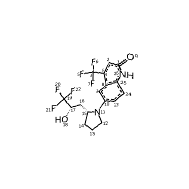 O=c1cc(C(F)(F)F)c2cc(N3CCC[C@@H]3C[C@H](O)C(F)(F)F)ccc2[nH]1